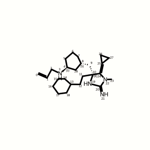 C=CCN[C@H]1CCC[C@H](C[C@@]2(CCC3CCCCC3)NC(=N)N(C)C2=C2CC2)C1